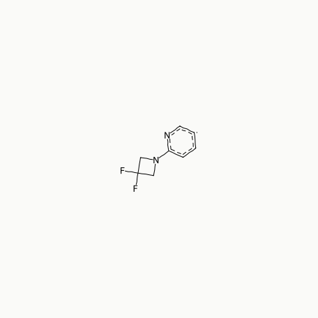 FC1(F)CN(c2cc[c]cn2)C1